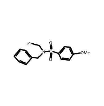 COc1ccc(S(=O)(=O)N(Cc2ccccc2)CC(C)C)cc1